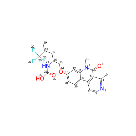 Cc1nccc2c1c(=O)n(C)c1cc(OCC(CC(C)C(F)(F)F)NC(=O)O)ccc21